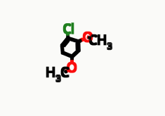 COC1=CC(OC)CC=C1Cl